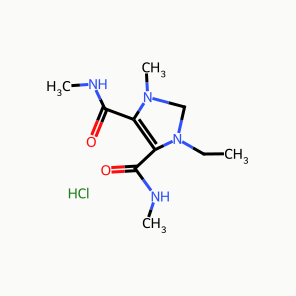 CCN1CN(C)C(C(=O)NC)=C1C(=O)NC.Cl